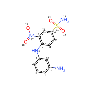 Nc1cccc(Nc2ccc(S(N)(=O)=O)cc2[N+](=O)[O-])c1